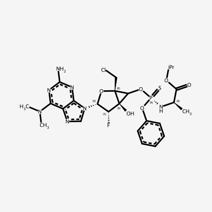 CC(C)OC(=O)[C@@H](C)N[P@](=S)(Oc1ccccc1)OC1[C@@]2(CCl)O[C@@H](n3cnc4c(N(C)C)nc(N)nc43)[C@@H](F)[C@@]12O